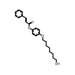 O=C(/C=C/c1ccccc1)Oc1ccc(OCCCCCCCCO)cc1